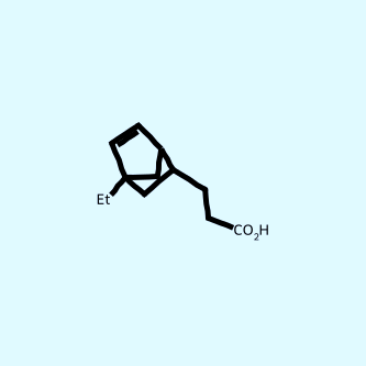 CCC12C=CC(C1)C(CCC(=O)O)C2